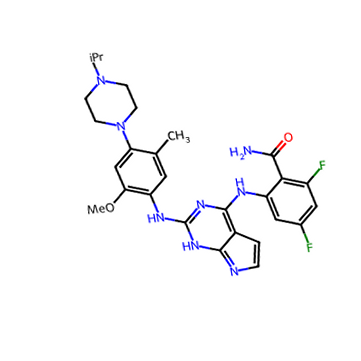 COc1cc(N2CCN(C(C)C)CC2)c(C)cc1Nc1nc(Nc2cc(F)cc(F)c2C(N)=O)c2ccnc-2[nH]1